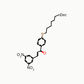 CCCCCCCCCCCCCCCCSc1ccc(C(=O)C=Cc2cc([N+](=O)[O-])cc([N+](=O)[O-])c2)cc1